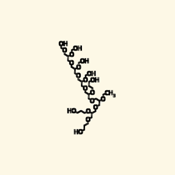 CCOC(COCC(COCCCO)OCCCO)COCC(COCC(COCC(COCC(COCO)OCO)OCO)OCO)OCCCO